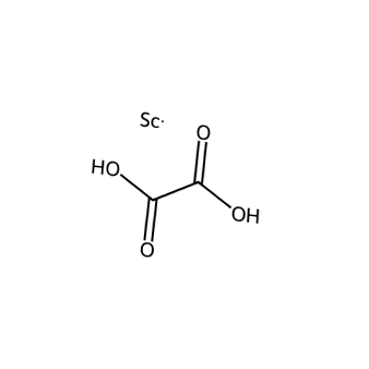 O=C(O)C(=O)O.[Sc]